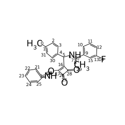 Cc1ccc(C(N[C@H](C)c2cccc(F)c2)c2c(ONc3ccccc3)c(=O)c2=O)cc1